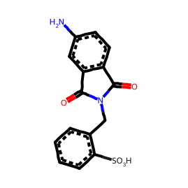 Nc1ccc2c(c1)C(=O)N(Cc1ccccc1S(=O)(=O)O)C2=O